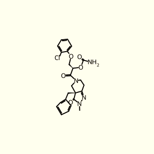 CN1N=C2CCN(C(=O)[C@@H](COc3ccccc3Cl)OC(N)=O)C[C@@]2(Cc2ccccc2)C1=O